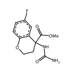 COC(=O)C1(NC(N)=O)CCOc2ccc(F)cc21